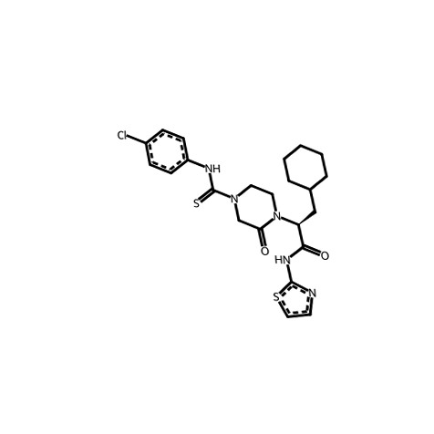 O=C(Nc1nccs1)[C@H](CC1CCCCC1)N1CCN(C(=S)Nc2ccc(Cl)cc2)CC1=O